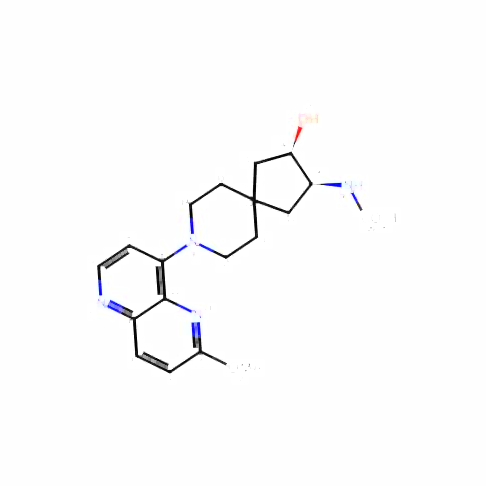 COc1ccc2nccc(N3CCC4(CC3)C[C@@H](O)[C@@H](NC(=O)O)C4)c2n1